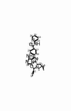 CC#CC(=O)N1CC2(CC2)C[C@H]1c1nc(-c2ccc(C(=O)Nc3ccccn3)cc2)c2c(N)nccn12